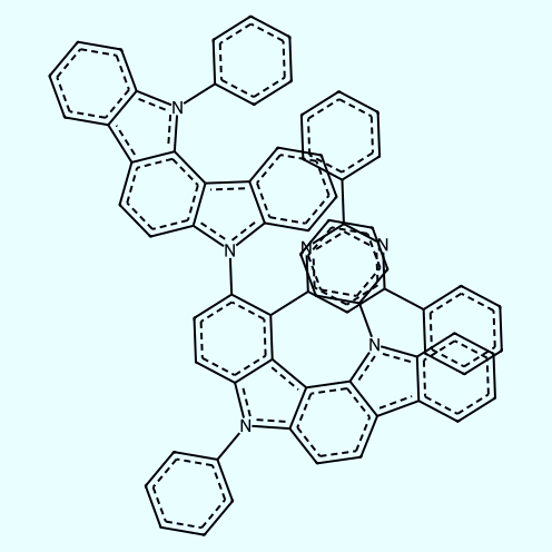 c1ccc(-c2cc(-c3c(-n4c5ccccc5c5c4ccc4c6ccccc6n(-c6ccccc6)c45)ccc4c3c3c(ccc5c6ccccc6n(-c6ccccc6)c53)n4-c3ccccc3)nc(-c3ccccc3)n2)cc1